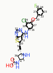 O=C(O)N[C@@H]1CN[C@@H](C#Cc2cc3c(Nc4ccc(OCc5cccc(F)c5)c(Cl)c4)ncnc3s2)C1